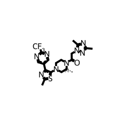 Cc1nc(C)n(CC(=O)N2CCN(c3sc(C)nc3-c3cnc(C(F)(F)F)nc3)C[C@H]2C)n1